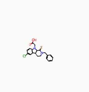 O=C(O)CN1c2ccc(Cl)cc2C2CCN(Cc3ccccc3)C(=S)C21